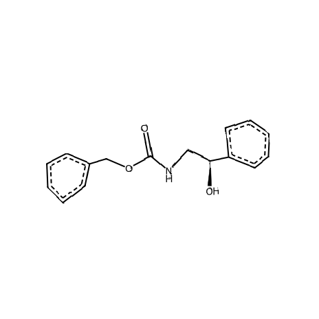 O=C(NC[C@H](O)c1ccccc1)OCc1ccccc1